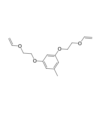 C=COCCOc1cc(C)cc(OCCOC=C)c1